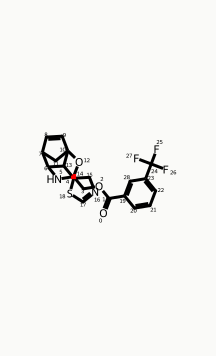 O=C(OCC1NC2C3C=CC(C3)(O1)C2C1CN=CS1)c1cccc(C(F)(F)F)c1